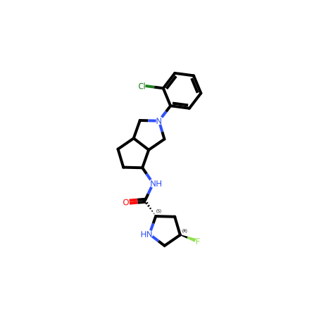 O=C(NC1CCC2CN(c3ccccc3Cl)CC21)[C@@H]1C[C@@H](F)CN1